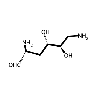 NC[C@@H](O)[C@@H](O)C[C@@H](N)C=O